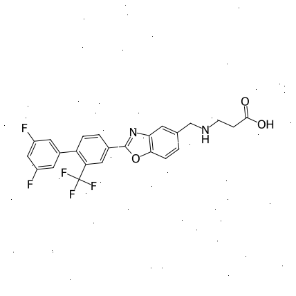 O=C(O)CCNCc1ccc2oc(-c3ccc(-c4cc(F)cc(F)c4)c(C(F)(F)F)c3)nc2c1